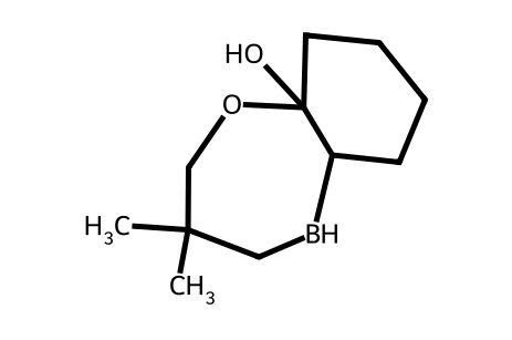 CC1(C)CBC2CCCCC2(O)OC1